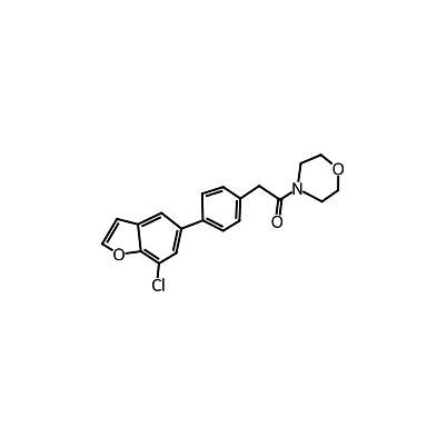 O=C(Cc1ccc(-c2cc(Cl)c3occc3c2)cc1)N1CCOCC1